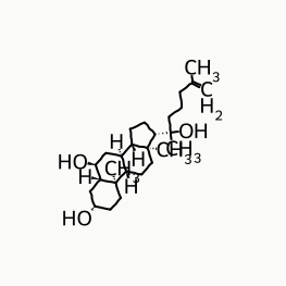 C=C(C)CCCC(C)(O)[C@H]1CC[C@H]2[C@@H]3C[C@H](O)[C@H]4C[C@@H](O)CC[C@]4(C)[C@H]3CC[C@]12C